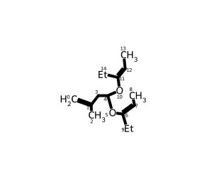 C=C(C)CC(OC(=CC)CC)OC(=CC)CC